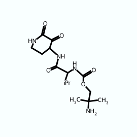 CC(C)C(NC(=O)OCC(C)(C)N)C(=O)NC1CCNC(=O)C1=O